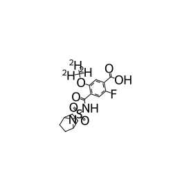 [2H]C([2H])([2H])Oc1cc(C(=O)O)c(F)cc1C(=O)NS(=O)(=O)N1C2CCC1CC2